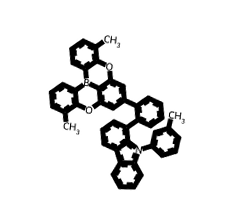 Cc1cccc(-n2c3ccccc3c3cccc(-c4ccccc4-c4cc5c6c(c4)Oc4c(C)cccc4B6c4cccc(C)c4O5)c32)c1